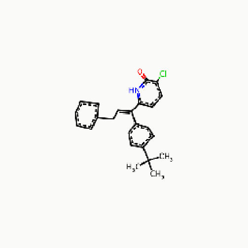 CC(C)(C)c1ccc(/C(=C\Cc2ccccc2)c2ccc(Cl)c(=O)[nH]2)cc1